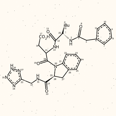 CC[C@H](C)[C@H](NC(=O)Cc1ccccc1)C(=O)NC(CC(=O)O)C(=O)N1c2ccccc2C[C@H]1C(=O)NCc1nn[nH]n1